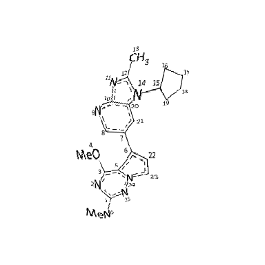 CNc1nc(OC)c2c(-c3cnc4nc(C)n(C5CCCC5)c4c3)ccn2n1